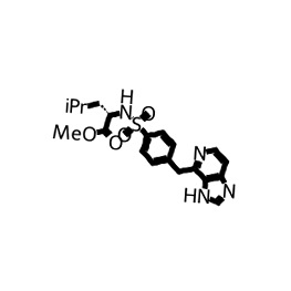 COC(=O)[C@H](CC(C)C)NS(=O)(=O)c1ccc(Cc2nccc3nc[nH]c23)cc1